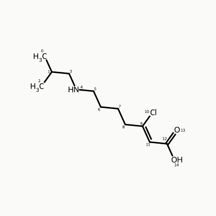 CC(C)CNCCCCC(Cl)=CC(=O)O